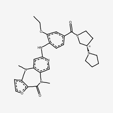 CCOc1cc(C(=O)N2CC[C@@H](N3CCCC3)C2)ccc1Nc1cc2c(cn1)N(C)C(=O)c1occc1N2C